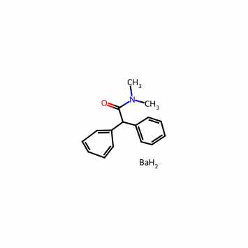 CN(C)C(=O)C(c1ccccc1)c1ccccc1.[BaH2]